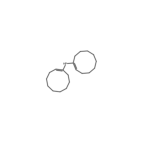 C1=C(PC2=CCCCCCCCC2)CCCCCCCC1